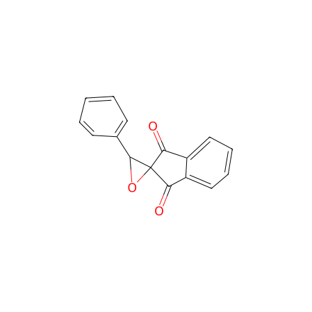 O=C1c2ccccc2C(=O)C12OC2c1ccccc1